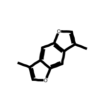 Cc1coc2cc3c(C)coc3cc12